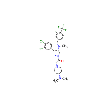 CN(C)C1CCN(CC(=O)N2CC(c3ccc(Cl)c(Cl)c3)C(N(C)Cc3ccc(C(F)(F)F)c(F)c3)C2)CC1